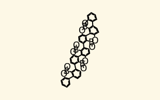 c1ccc2c(c1)OB1Oc3cc4c5c6c3-c3c(ccc-2c31)OB6Oc1cc2c3c(c1-5)B(O4)Oc1cc4c5c(c1-3)B(Oc1ccc3c(c1-5)B(Oc1ccccc1-3)O4)O2